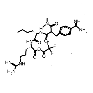 CCCC[C@H](NC(=O)C(Cc1ccc(C(=N)N)cc1)C(=O)N(C)C)C(=O)N[C@@H](CCCNC(=N)N)C(=O)OC(=O)C(F)(F)F